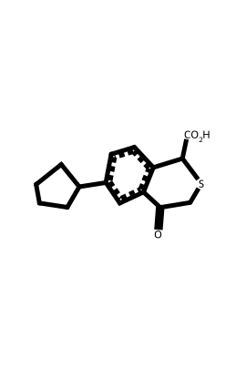 O=C1CSC(C(=O)O)c2ccc(C3CCCC3)cc21